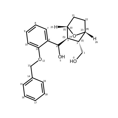 OC[C@@H]1[C@@H](C(O)c2ccccc2OCc2ccccc2)[C@@H]2CC[C@H]1O2